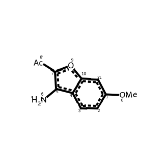 COc1ccc2c(N)c(C(C)=O)oc2c1